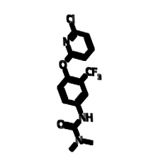 CN(C)C(=O)Nc1ccc(Oc2cccc(Cl)n2)c(C(F)(F)F)c1